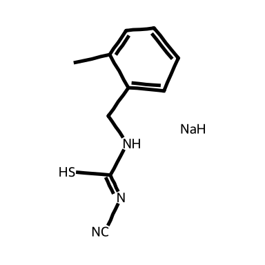 Cc1ccccc1CNC(S)=NC#N.[NaH]